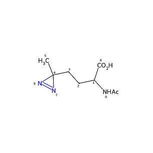 CC(=O)NC(CCC1(C)N=N1)C(=O)O